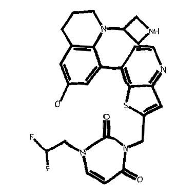 O=c1ccn(CC(F)F)c(=O)n1Cc1cc2nccc(-c3cc(Cl)cc4c3N(C3CNC3)CCC4)c2s1